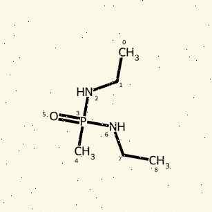 CCNP(C)(=O)NCC